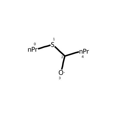 CCCSC([O])CCC